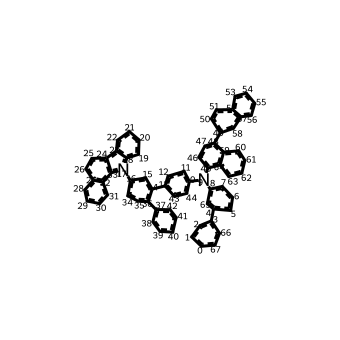 c1ccc(-c2cccc(N(c3ccc(-c4cc(-n5c6ccccc6c6ccc7ccccc7c65)ccc4-c4ccccc4)cc3)c3ccc(-c4ccc5ccccc5c4)c4ccccc34)c2)cc1